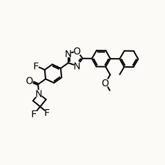 COCc1cc(-c2nc(C3=CC(F)C(C(=O)N4CC(F)(F)C4)C=C3)no2)ccc1C1=C(C)C=CCC1